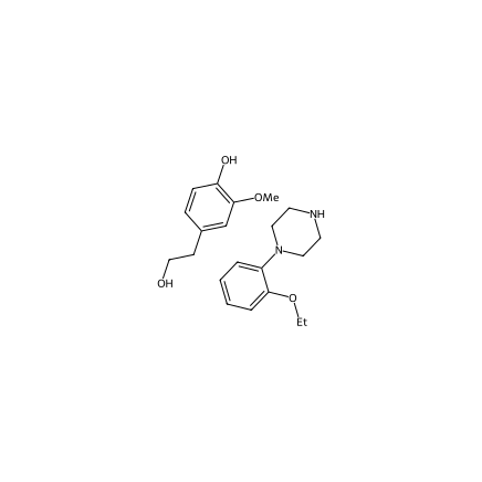 CCOc1ccccc1N1CCNCC1.COc1cc(CCO)ccc1O